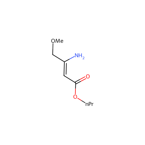 CCCOC(=O)C=C(N)COC